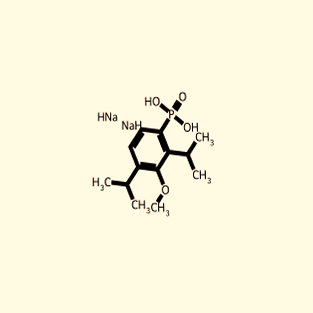 COc1c(C(C)C)ccc(P(=O)(O)O)c1C(C)C.[NaH].[NaH]